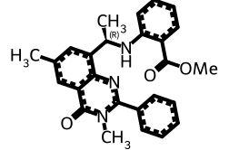 COC(=O)c1ccccc1N[C@H](C)c1cc(C)cc2c(=O)n(C)c(-c3ccccc3)nc12